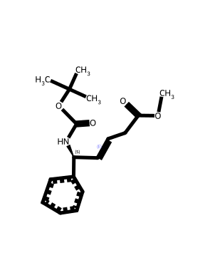 COC(=O)C/C=C/[C@H](NC(=O)OC(C)(C)C)c1ccccc1